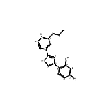 CCCc1cc(-c2nc(-c3ccc(F)cc3F)cs2)ccn1